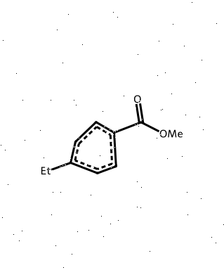 [CH2]Cc1ccc(C(=O)OC)cc1